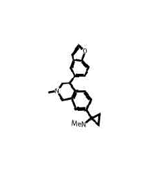 CNC1(c2ccc3c(c2)CN(C)CC3c2ccc3occc3c2)CC1